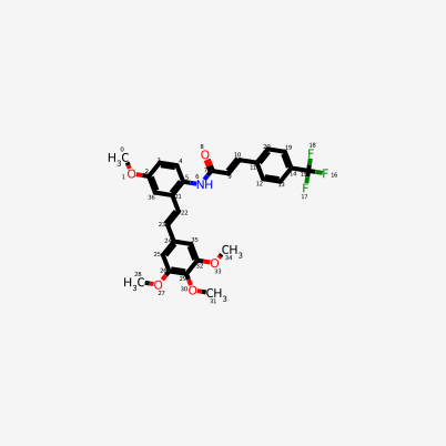 COc1ccc(NC(=O)/C=C/c2ccc(C(F)(F)F)cc2)c(/C=C/c2cc(OC)c(OC)c(OC)c2)c1